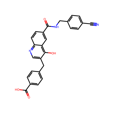 N#Cc1ccc(CNC(=O)c2ccc3ncc(Cc4ccc(C(=O)O)cc4)c(O)c3c2)cc1